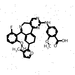 COc1cc(Nc2ncc3c(n2)C2=CCC(c4occc4C)C=C2C(c2c(F)cccc2OC)=NC3)ccc1C(=O)O